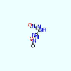 c1ccc([C@H]2COC(c3ncc(-c4c[nH]c5ncc(N6CCOCC6)cc45)cn3)=N2)cc1